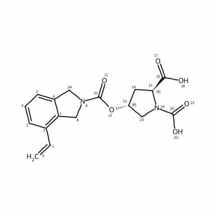 C=Cc1cccc2c1CN(C(=O)O[C@@H]1C[C@@H](C(=O)O)N(C(=O)O)C1)C2